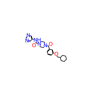 O=C(Nc1cncnc1)N1CCN(C(=O)c2cccc(OCC3CCCCC3)c2)CC1